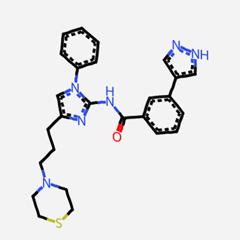 O=C(Nc1nc(CCCN2CCSCC2)cn1-c1ccccc1)c1cccc(-c2cn[nH]c2)c1